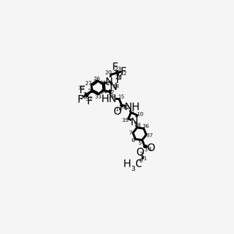 CCOC(=O)C1CCC(N2CC(NC(=O)CNc3nn(CC(F)(F)F)c4ccc(C(F)(F)F)cc34)C2)CC1